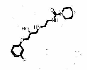 O=C(NCCNC[C@H](O)COc1cccc(F)c1)N1CCOCC1